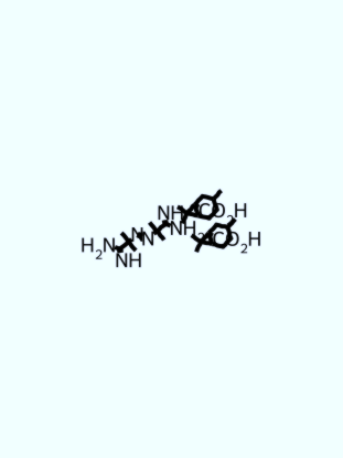 CC(C)(N=NC(C)(C)C(=N)N)C(=N)N.CC1CCC2C(C)(C)C2(C(=O)O)C1.CC1CCC2C(C)(C)C2(C(=O)O)C1